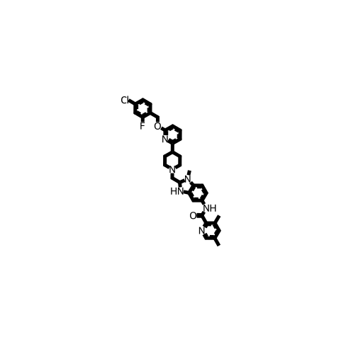 Cc1cnc(C(=O)Nc2ccc3c(c2)NC(CN2CCC(c4cccc(OCc5ccc(Cl)cc5F)n4)CC2)N3C)c(C)c1